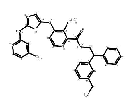 Cc1ccnc(Nc2ncc(Sc3ccnc(C(=O)NCC(c4ccccc4)c4cccc(CO)c4)c3F)s2)c1.Cl